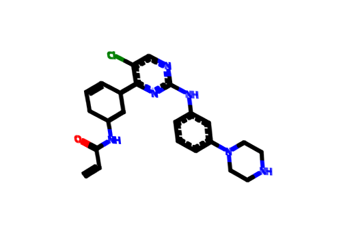 C=CC(=O)NC1CC=CC(c2nc(Nc3cccc(N4CCNCC4)c3)ncc2Cl)C1